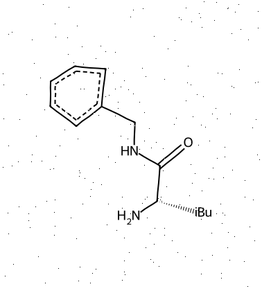 CCC(C)[C@H](N)C(=O)NCc1ccccc1